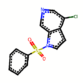 O=S(=O)(c1ccccc1)n1ccc2c(Cl)cncc21